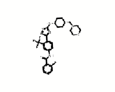 O=C(Nc1ccc(-c2nnc(N[C@H]3CC[C@H](CN4CCOCC4)CC3)o2)c(C(F)(F)F)c1)c1ccccc1F